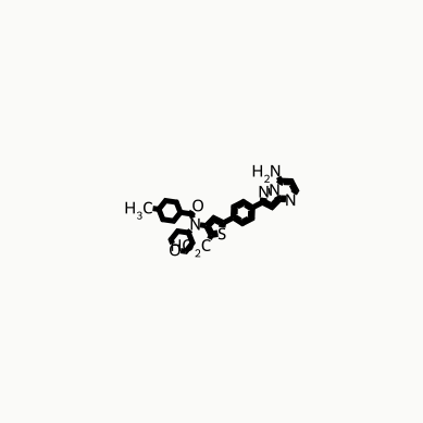 CC1CCC(C(=O)N(c2cc(-c3ccc(-c4cc5nccc(N)n5n4)cc3)sc2C(=O)O)C2CCOCC2)CC1